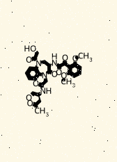 COc1cccc(OC)c1C(=O)C(=O)N[C@H]1CN(C(=O)CO)c2ccccc2N(CC(=O)N[C@H](C=O)CC(C)=O)C1=O